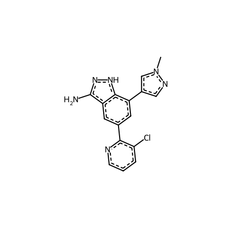 Cn1cc(-c2cc(-c3ncccc3Cl)cc3c(N)n[nH]c23)cn1